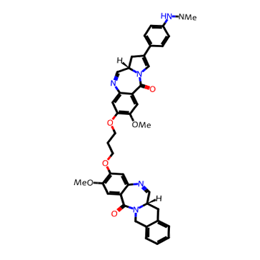 CNNc1ccc(C2=CN3C(=O)c4cc(OC)c(OCCCOc5cc6c(cc5OC)C(=O)N5Cc7ccccc7C[C@H]5C=N6)cc4N=C[C@@H]3C2)cc1